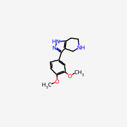 COc1ccc(-c2n[nH]c3c2CNCC3)cc1OC